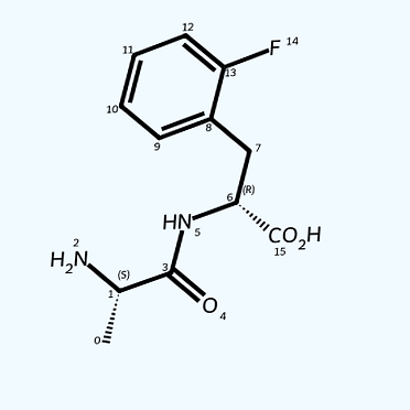 C[C@H](N)C(=O)N[C@H](Cc1ccccc1F)C(=O)O